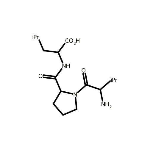 CC(C)CC(NC(=O)C1CCCN1C(=O)C(N)C(C)C)C(=O)O